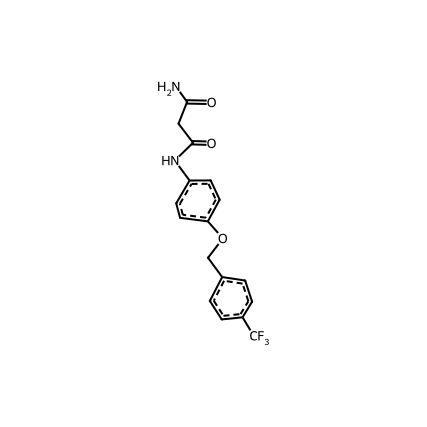 NC(=O)CC(=O)Nc1ccc(OCc2ccc(C(F)(F)F)cc2)cc1